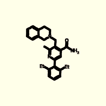 CCc1cccc(CC)c1-c1cc(C(N)=O)c(CN2CCc3ccccc3C2)c(C)n1